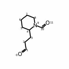 O=CCCC1CCCCN1C=O